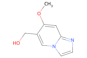 COc1cc2nccn2cc1CO